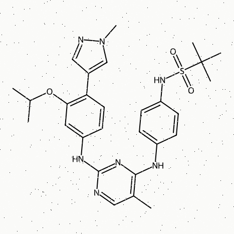 Cc1cnc(Nc2ccc(-c3cnn(C)c3)c(OC(C)C)c2)nc1Nc1ccc(NS(=O)(=O)C(C)(C)C)cc1